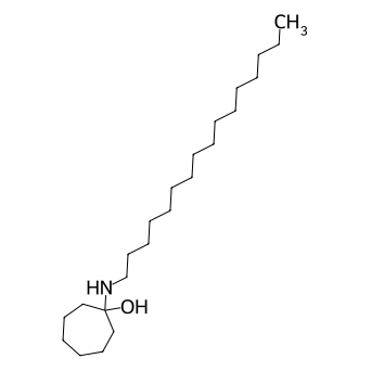 CCCCCCCCCCCCCCCCNC1(O)CCCCCC1